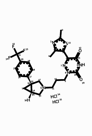 Cc1nc(C)c(-c2nn(CCCN3C[C@@H]4C[C@]4(c4ccc(C(F)(F)F)cc4)C3)c(=O)[nH]c2=O)s1.Cl.Cl